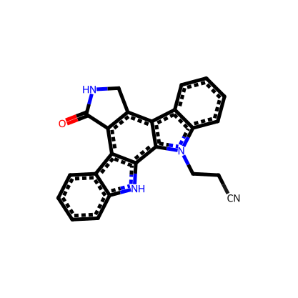 N#CCCn1c2ccccc2c2c3c(c4c5ccccc5[nH]c4c21)C(=O)NC3